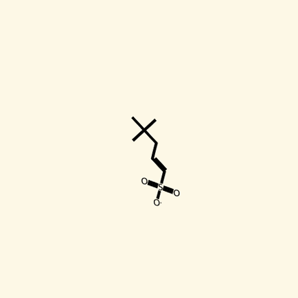 CC(C)(C)CC=CS([O])(=O)=O